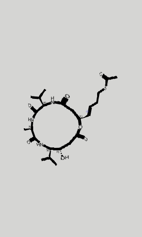 CC(=O)SCC/C=C/[C@@H]1CC(=O)N[C@H](C(C)C)C(=O)N[C@H](C)C(=O)N[C@H](C(C)C)[C@@H](O)CC(=O)O1